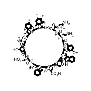 CCCC[C@H]1C(=O)N2C[C@H](O)C[C@@H]2C(=O)N[C@@H](CC(=O)O)C(=O)N[C@@H](C(C)C)C(=O)N(C)[C@@H](Cc2ccccc2)C(=O)N[C@@H](CCC(=O)O)C(=O)N2CCOC[C@@H]2C(=O)N[C@@H](Cc2c[nH]c3ccccc23)C(=O)N[C@@H](Cc2ccc(O)cc2)C(=O)N[C@@H](CCN)C(=O)N[C@H](C(=O)NCC(N)=O)CSCC(=O)N[C@@H](Cc2cc(F)c(F)c(F)c2)C(=O)N(C)C(Cc2ccc(F)cc2)C(=O)N1C